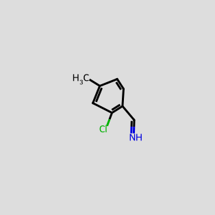 Cc1ccc(C=N)c(Cl)c1